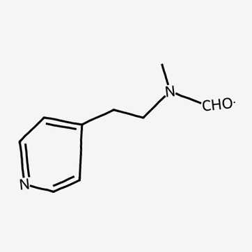 CN([C]=O)CCc1ccncc1